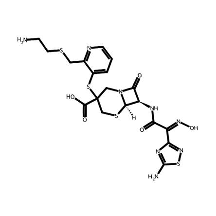 NCCSCc1ncccc1SC1(C(=O)O)CS[C@@H]2[C@H](NC(=O)C(=NO)c3nsc(N)n3)C(=O)N2C1